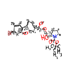 CC(C)(C)OC(=O)N1CCC[C@H]1C(O)OCC(=O)c1ccc2c(c1)oc1cc(Br)ccc12